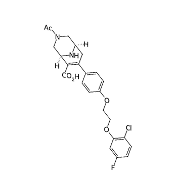 CC(=O)N1C[C@H]2CC(c3ccc(OCCOc4cc(F)ccc4Cl)cc3)=C(C(=O)O)[C@@H](C1)N2